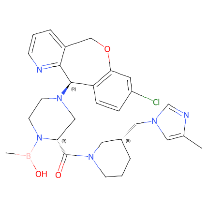 CB(O)N1CCN([C@@H]2c3ccc(Cl)cc3OCc3cccnc32)C[C@@H]1C(=O)N1CCC[C@@H](Cn2cnc(C)c2)C1